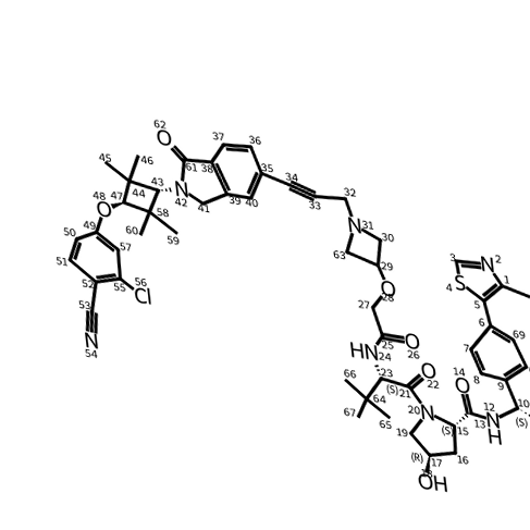 Cc1ncsc1-c1ccc([C@H](C)NC(=O)[C@@H]2C[C@@H](O)CN2C(=O)[C@@H](NC(=O)COC2CN(CC#Cc3ccc4c(c3)CN([C@H]3C(C)(C)[C@H](Oc5ccc(C#N)c(Cl)c5)C3(C)C)C4=O)C2)C(C)(C)C)cc1